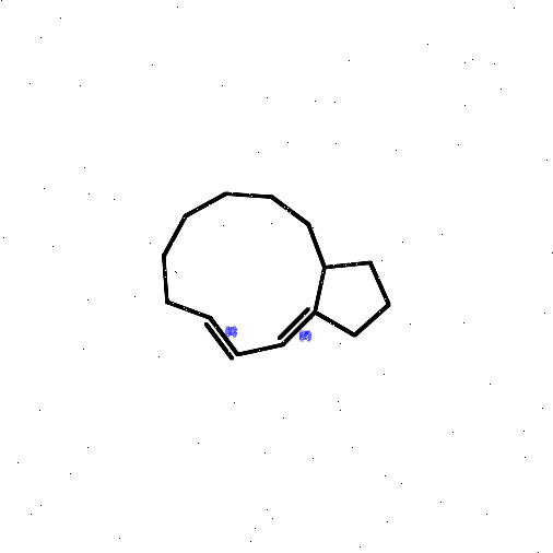 C1=C2/CCCC2CCCCCC/C=C/1